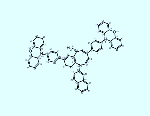 C=C1/C=C(c2ccc(N3c4ccccc4Oc4ccccc43)cc2)\C=C/N(c2ccc3ccccc3c2)C2=C1C=C(c1ccc(N3C4=CCCC=C4OC4C=CC=CC43)cc1)CC2